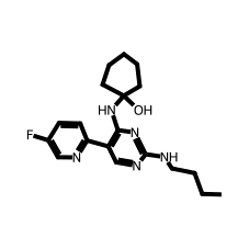 CCCCNc1ncc(-c2ccc(F)cn2)c(NC2(O)CCCCC2)n1